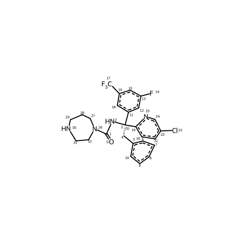 O=C(N[C@@](Cc1ccccc1)(c1cc(F)cc(C(F)(F)F)c1)c1ccc(Cl)cn1)N1CCCNCC1